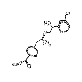 COC(=O)c1ccc(C/C(C)=N/CC(O)c2cccc(Cl)c2)cc1